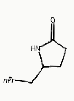 CCCCC1CCC(=O)N1